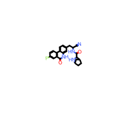 N#CC(Cc1ccc2c(c1)[nH]c(=O)c1cc(F)ccc12)NC(=O)C1NC2CCC1C2